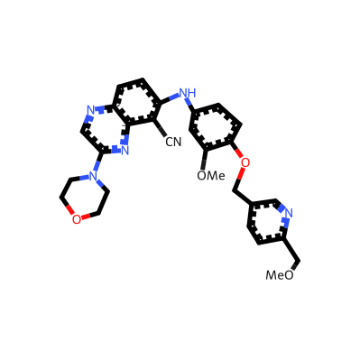 COCc1ccc(COc2ccc(Nc3ccc4ncc(N5CCOCC5)nc4c3C#N)cc2OC)cn1